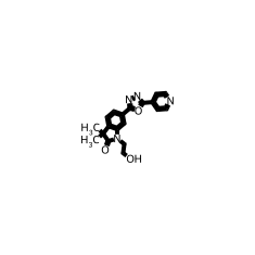 CC1(C)C(=O)N(CCO)c2cc(-c3nnc(-c4ccncc4)o3)ccc21